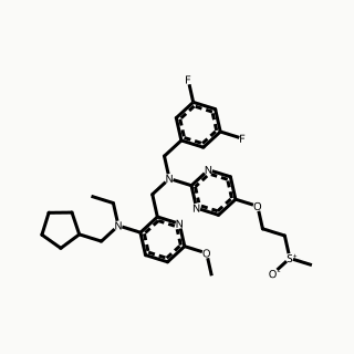 CCN(CC1CCCC1)c1ccc(OC)nc1CN(Cc1cc(F)cc(F)c1)c1ncc(OCC[S+](C)[O-])cn1